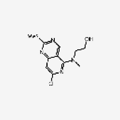 CSc1ncc2c(N(C)CCO)nc(Cl)cc2n1